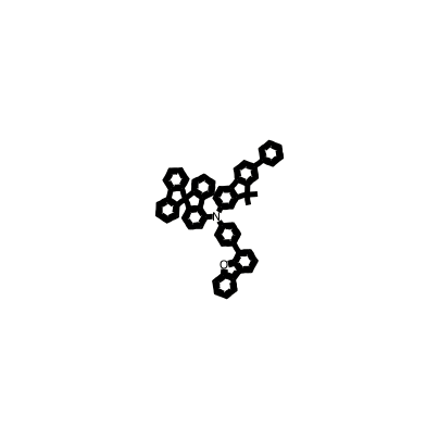 CC1(C)c2cc(-c3ccccc3)ccc2-c2ccc(N(c3ccc(-c4cccc5c4oc4ccccc45)cc3)c3cccc4c3-c3ccccc3C43c4ccccc4-c4ccccc43)cc21